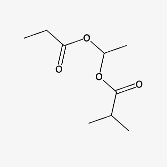 CCC(=O)OC(C)OC(=O)C(C)C